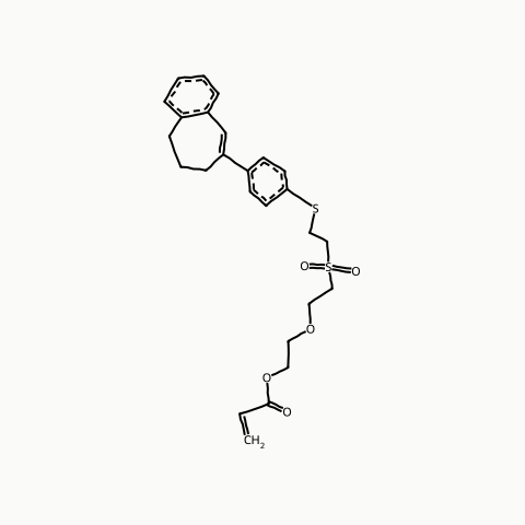 C=CC(=O)OCCOCCS(=O)(=O)CCSc1ccc(C2=Cc3ccccc3CCC2)cc1